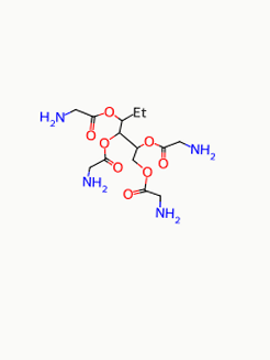 CCC(OC(=O)CN)C(OC(=O)CN)C(COC(=O)CN)OC(=O)CN